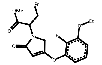 CCOc1cccc(OC2=CC(=O)N(C(CC(C)C)C(=O)OC)C2)c1F